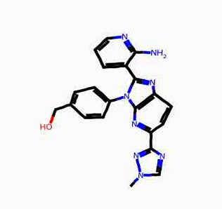 Cn1cnc(-c2ccc3nc(-c4cccnc4N)n(-c4ccc(CO)cc4)c3n2)n1